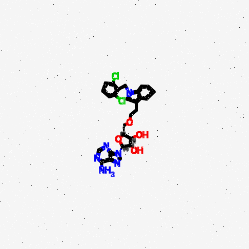 Nc1ncnc2c1ncn2[C@@H]1O[C@H](COCCc2cn(Cc3c(Cl)cccc3Cl)c3ccccc23)[C@@H](O)[C@H]1O